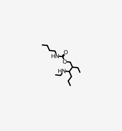 CCCCNC(=O)OCC(CC)C(CCC)NCC